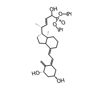 C=C1/C(=C\C=C2/CCC[C@@]3(C)C2CC[C@@H]3[C@H](C)/C=C/C(O)P(=O)(OC(C)C)OC(C)C)C[C@@H](O)C[C@@H]1O